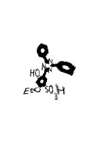 CCOc1cc(O)c(-c2nc(-c3ccccc3)nc(-c3ccccc3)n2)cc1S(=O)(=O)O